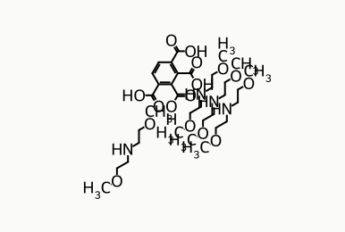 COCCNCCOC.COCCNCCOC.COCCNCCOC.COCCNCCOC.O=C(O)c1ccc(C(=O)O)c(C(=O)O)c1C(=O)O